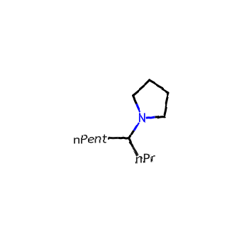 CCCCCC(CCC)N1CCCC1